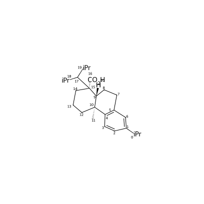 CC(C)c1ccc2c(c1)CC[C@@H]1[C@]2(C)CCC[C@@]1(C(=O)O)C(C(C)C)C(C)C